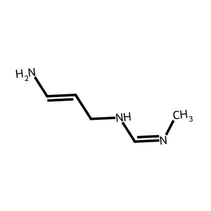 C/N=C\NC/C=C/N